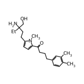 CCC(N)(CO)CCc1ccc(C(=O)CCCc2ccc(C)c(C)c2)n1C